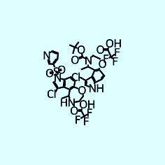 CC1NCCOc2ccc3c(c(Cl)cn3S(=O)(=O)c3cccnc3)c21.CC1c2c(ccc3[nH]cc(Cl)c23)OCCN1C(=O)OC(C)(C)C.O=C(O)C(F)(F)F.O=C(O)C(F)(F)F